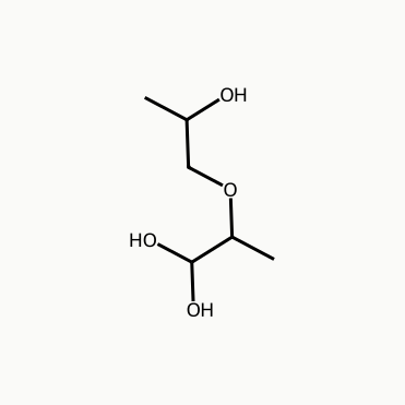 CC(O)COC(C)C(O)O